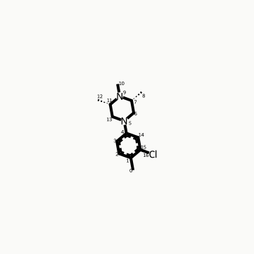 Cc1ccc(N2C[C@@H](C)N(C)[C@@H](C)C2)cc1Cl